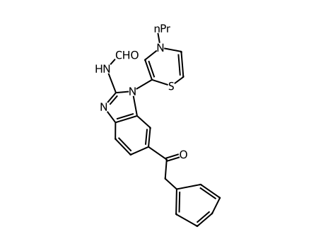 CCCN1C=CSC(n2c(NC=O)nc3ccc(C(=O)Cc4ccccc4)cc32)=C1